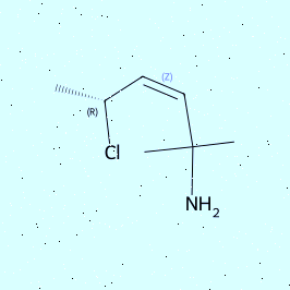 C[C@@H](Cl)/C=C\C(C)(C)N